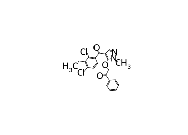 CCc1c(Cl)ccc(C(=O)c2cnn(C)c2OCC(=O)c2ccccc2)c1Cl